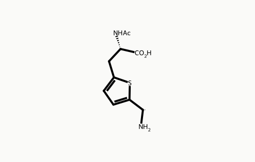 CC(=O)N[C@@H](Cc1ccc([CH]N)s1)C(=O)O